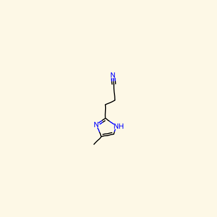 Cc1c[nH]c(CCC#N)n1